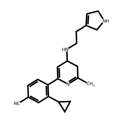 CC1=NC(c2ccc(C#N)cc2C2CC2)=CC(NCCC2=CCNC2)C1